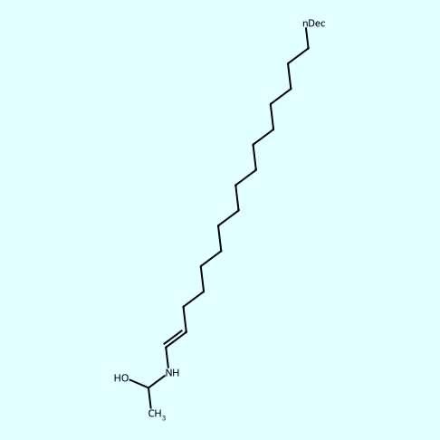 CCCCCCCCCCCCCCCCCCCCCCCCC=CNC(C)O